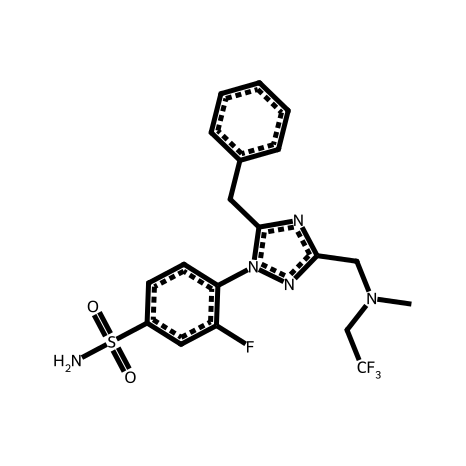 CN(Cc1nc(Cc2ccccc2)n(-c2ccc(S(N)(=O)=O)cc2F)n1)CC(F)(F)F